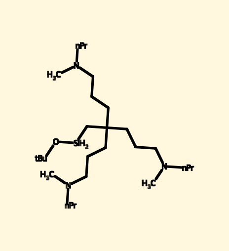 CCCN(C)CCCC(CCCN(C)CCC)(CCCN(C)CCC)C[SiH2]OC(C)(C)C